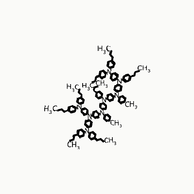 CCCCc1ccc(N(c2ccc(CCCC)cc2)c2ccc(N(c3ccc(CCCC)cc3)c3ccc(N(c4ccc(C)cc4)c4ccc(N(c5ccc(CCCC)cc5)c5ccc(N(c6ccc(C)cc6)c6ccc(N(c7ccc(N(c8ccc(CCCC)cc8)c8ccc(CCCC)cc8)cc7)c7ccc(N(c8ccc(CCCC)cc8)c8ccc(CCCC)cc8)cc7)cc6)cc5)cc4)cc3)cc2)cc1